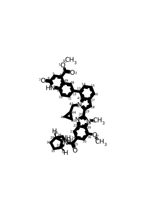 COC(=O)c1cc(=O)[nH]c2ccc(-c3cccc4cc(-c5nc6cc(C(=O)N7C[C@H]8CC[C@@H]7[C@@H]8N)cc(OC)c6n5C)n(CC5CC5)c34)cc12